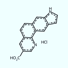 Cl.O=C(O)c1cnc2c(ccc3cc4[nH]ccc4cc32)c1